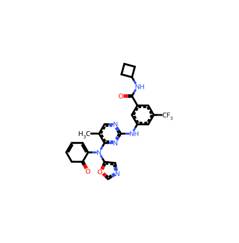 Cc1cnc(Nc2cc(C(=O)NC3CCC3)cc(C(F)(F)F)c2)nc1N(C1=CC=CCC1=O)c1cnco1